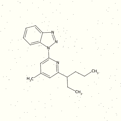 CCCC(CC)c1cc(C)cc(-n2nnc3ccccc32)n1